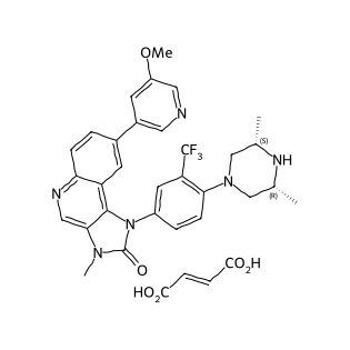 COc1cncc(-c2ccc3ncc4c(c3c2)n(-c2ccc(N3C[C@@H](C)N[C@@H](C)C3)c(C(F)(F)F)c2)c(=O)n4C)c1.O=C(O)C=CC(=O)O